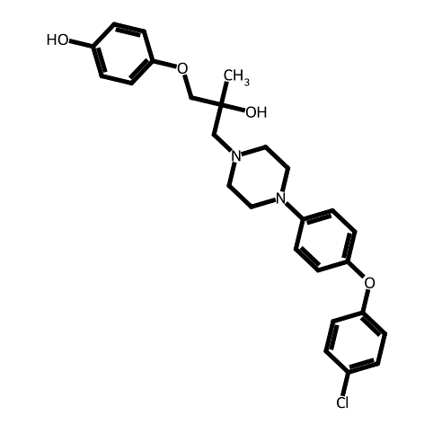 CC(O)(COc1ccc(O)cc1)CN1CCN(c2ccc(Oc3ccc(Cl)cc3)cc2)CC1